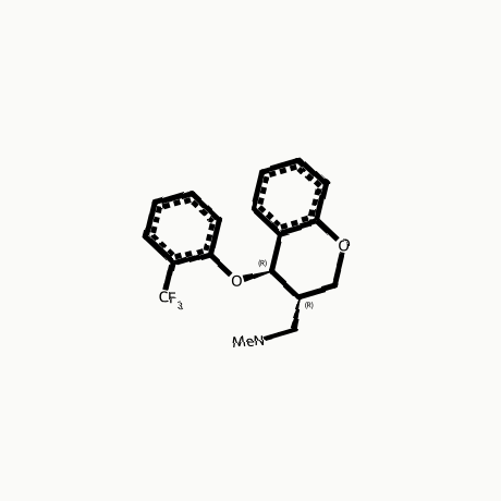 CNC[C@@H]1COc2ccccc2[C@@H]1Oc1ccccc1C(F)(F)F